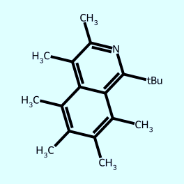 Cc1nc(C(C)(C)C)c2c(C)c(C)c(C)c(C)c2c1C